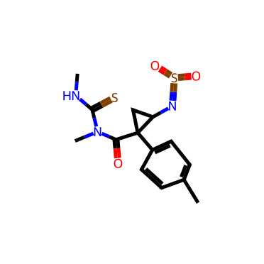 CNC(=S)N(C)C(=O)C1(c2ccc(C)cc2)CC1N=S(=O)=O